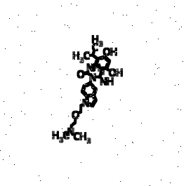 CC(C)c1cc(C(=N)N(C(N)=O)c2ccc3c(ccn3CCOCCN(C)C)c2)c(O)cc1O